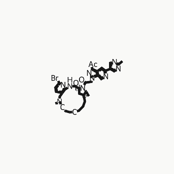 CC(=O)c1nn(CC(=O)N2C3C[C@@]34CCCCCCCN(C)Cc3ccc(Br)nc3NC(=O)[C@@H]2C4)c2cnc(-c3cnc(C)nc3)cc12